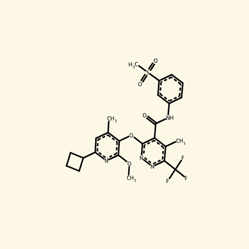 COc1nc(C2CCC2)cc(C)c1Oc1nnc(C(F)(F)F)c(C)c1C(=O)Nc1cccc(S(C)(=O)=O)c1